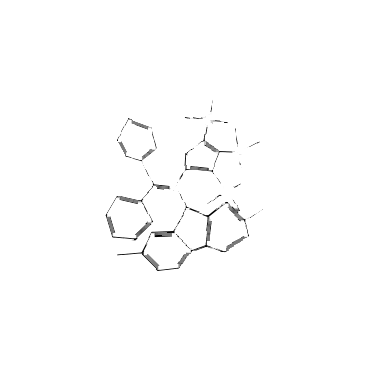 Cc1ccc2c(c1)[CH]([Zr]([C]1=C([Si](C)(C)C)C([Si](C)(C)C)=C([Si](C)(C)C)C1)=[C](c1ccccc1)c1ccccc1)c1cc(C)ccc1-2